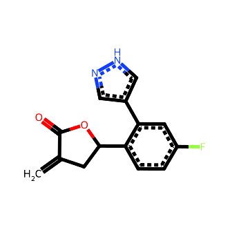 C=C1CC(c2ccc(F)cc2-c2cn[nH]c2)OC1=O